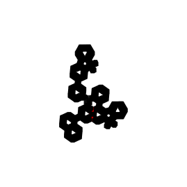 CC1(C)c2ccccc2-c2ccc(-c3cccc(N(c4cccc(-c5cccc6ccccc56)c4)c4ccccc4-c4cccc5c4-c4ccccc4C5(C)C)c3)cc21